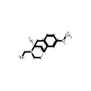 [2H]CN1CC[C@@]23CCCCC2[C@@H]1Cc1ccc(OC)cc13